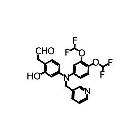 O=CCc1ccc(N(Cc2cccnc2)c2ccc(OC(F)F)c(OC(F)F)c2)cc1O